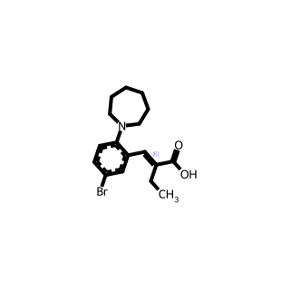 CC/C(=C\c1cc(Br)ccc1N1CCCCCC1)C(=O)O